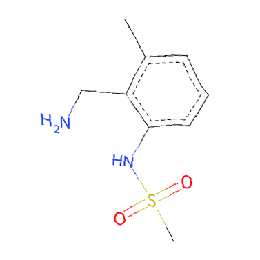 Cc1cccc(NS(C)(=O)=O)c1CN